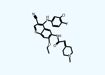 CCOc1cc2ncc(C#N)c(Nc3ccc(F)c(Cl)c3)c2cc1NC(=O)C=C1CCN(C)CC1